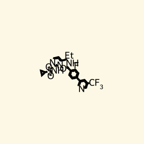 CCC(NC(=O)c1ccc(-c2cncc(C(F)(F)F)c2)cc1F)c1ccnc(NS(=O)(=O)C2CC2)n1